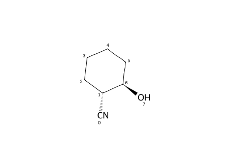 N#C[C@@H]1CCCC[C@H]1O